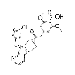 COc1cc(CC(=O)N2CCc3c(n(Cc4csc(Cl)c4)c4ncccc34)C2)cc(OC)c1C(=O)O